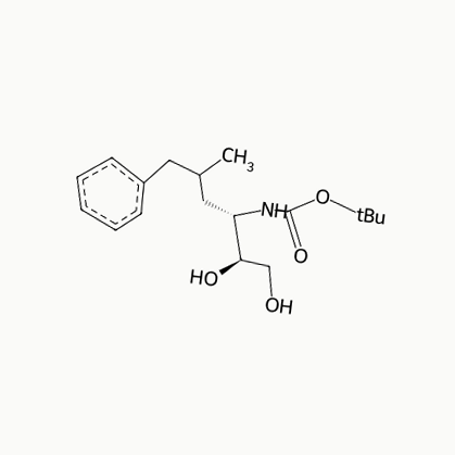 CC(Cc1ccccc1)C[C@H](NC(=O)OC(C)(C)C)[C@H](O)CO